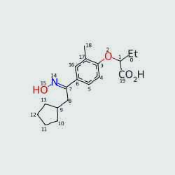 CCC(Oc1ccc(/C(CC2CCCC2)=N/O)cc1C)C(=O)O